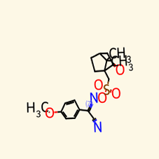 COc1ccc(/C(C#N)=N/OS(=O)(=O)CC23CCC(CC2=O)C3(C)C)cc1